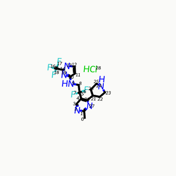 Cc1ncc(C(F)(F)CNc2ccnc(C(F)(F)F)n2)c(C2CCNCC2)n1.Cl